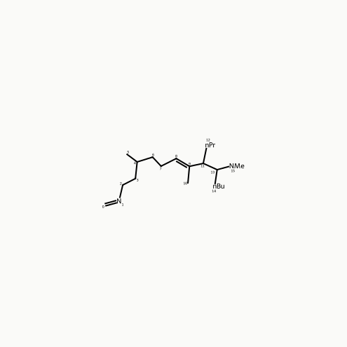 C=NCCC(C)CCC=C(C)C(CCC)C(CCCC)NC